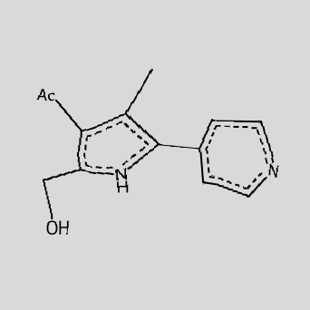 CC(=O)c1c(CO)[nH]c(-c2ccncc2)c1C